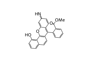 COC(=O)c1ccccc1-c1c2ccc(=N)cc-2oc2c1ccc1cccc(O)c12